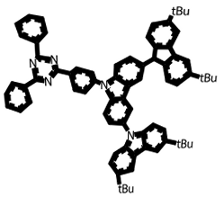 CC(C)(C)c1ccc2c(c1)-c1cc(C(C)(C)C)ccc1C2c1ccc2c(c1)c1cc(-n3c4ccc(C(C)(C)C)cc4c4cc(C(C)(C)C)ccc43)ccc1n2-c1ccc(-c2nc(-c3ccccc3)nc(-c3ccccc3)n2)cc1